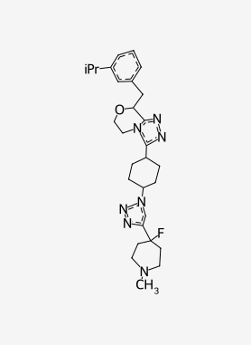 CC(C)c1cccc(CC2OCCn3c(C4CCC(n5cc(C6(F)CCN(C)CC6)nn5)CC4)nnc32)c1